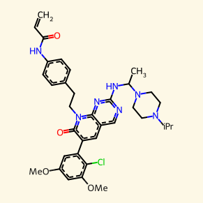 C=CC(=O)Nc1ccc(CCn2c(=O)c(-c3cc(OC)cc(OC)c3Cl)cc3cnc(NC(C)N4CCN(C(C)C)CC4)nc32)cc1